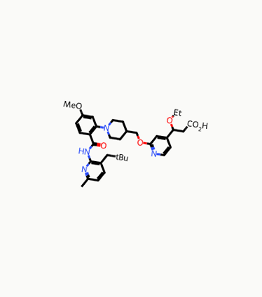 CCOC(CC(=O)O)c1ccnc(OCC2CCN(c3cc(OC)ccc3C(=O)Nc3nc(C)ccc3CC(C)(C)C)CC2)c1